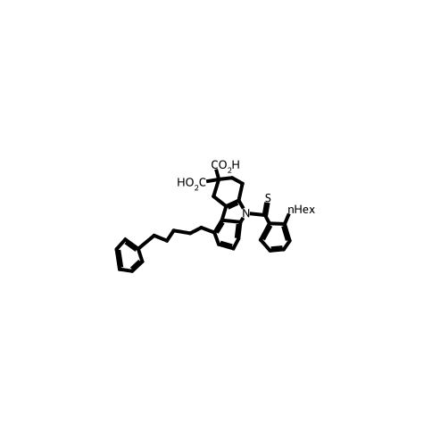 CCCCCCc1ccccc1C(=S)n1c2c(c3c(CCCCCc4ccccc4)cccc31)CC(C(=O)O)(C(=O)O)CC2